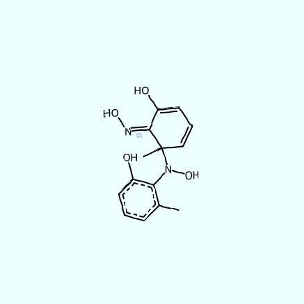 Cc1cccc(O)c1N(O)C1(C)C=CC=C(O)/C1=N\O